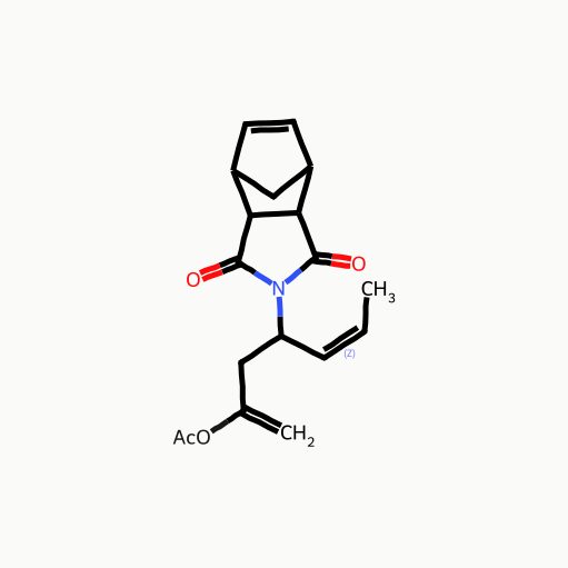 C=C(CC(/C=C\C)N1C(=O)C2C3C=CC(C3)C2C1=O)OC(C)=O